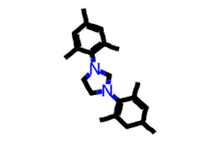 CC1=CC(C)CC(C)=C1N1CCN(c2c(C)cc(C)cc2C)C1